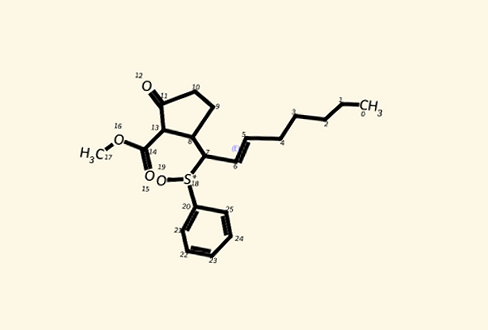 CCCCC/C=C/C(C1CCC(=O)C1C(=O)OC)[S+]([O-])c1ccccc1